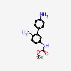 CC(C)(C)OC(=O)Nc1ccc(N)c(-c2ccc(N)cc2)c1